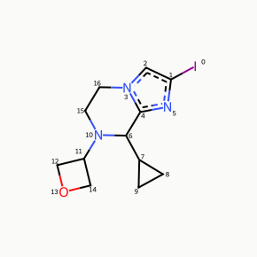 Ic1cn2c(n1)C(C1CC1)N(C1COC1)CC2